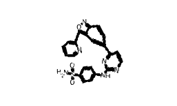 NS(=O)(=O)c1ccc(Nc2nccc(-c3ccc4noc(-c5ccccn5)c4c3)n2)cc1